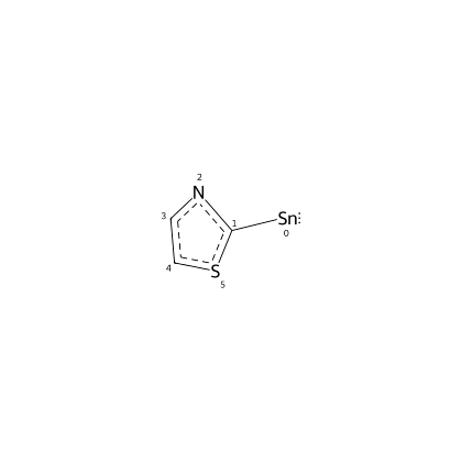 [Sn][c]1nccs1